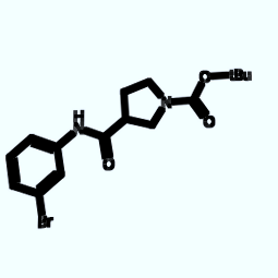 CC(C)(C)OC(=O)N1CCC(C(=O)Nc2cccc(Br)c2)C1